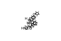 Cc1cc(OC2CCCC2)ncc1N1C(=O)Nc2c(C(=O)NC3CCNC3)sc3nccc1c23